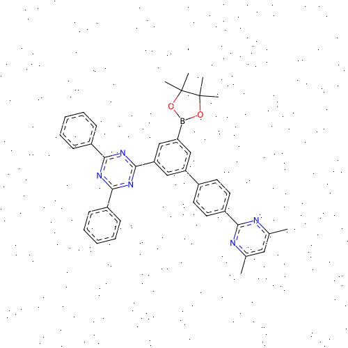 Cc1cc(C)nc(-c2ccc(-c3cc(B4OC(C)(C)C(C)(C)O4)cc(-c4nc(-c5ccccc5)nc(-c5ccccc5)n4)c3)cc2)n1